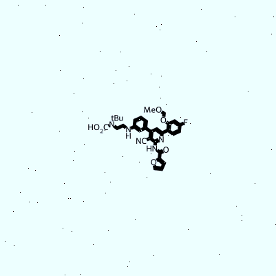 COCOc1cc(F)ccc1-c1cc(-c2cccc(NCCN(C(=O)O)C(C)(C)C)c2)c(C#N)c(NC(=O)c2ccco2)n1